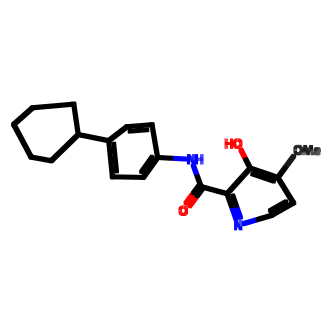 COc1ccnc(C(=O)Nc2ccc(C3CCCCC3)cc2)c1O